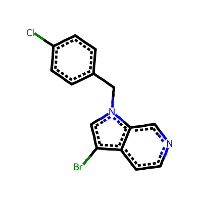 Clc1ccc(Cn2cc(Br)c3ccncc32)cc1